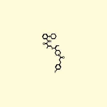 CC=C(S/C=C(\C)C(=O)Nc1ccccc1N1CCCCC1)C1CCN(C(=O)CCc2ccc(F)cc2)CC1